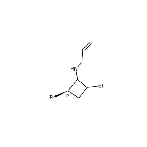 C=CCNC1C(CC)C[C@H]1C(C)C